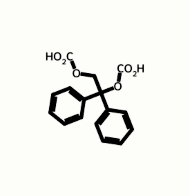 O=C(O)OCC(OC(=O)O)(c1ccccc1)c1ccccc1